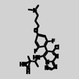 CC(Nc1c(-c2c(F)cc(OCCCN(C)C)cc2F)c(Cl)nc2ncnn12)C1(C)NN1